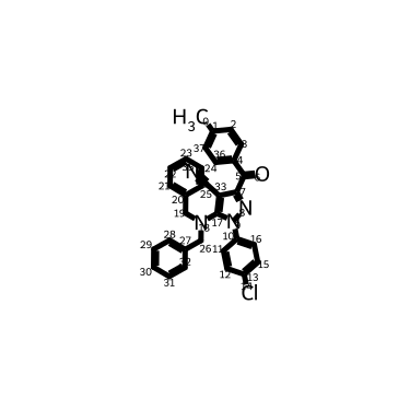 Cc1ccc(C(=O)c2nn(-c3ccc(Cl)cc3)c(N(Cc3ccccc3)Cc3ccccc3)c2C#N)cc1